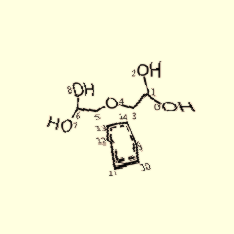 OC(O)COCC(O)O.c1ccccc1